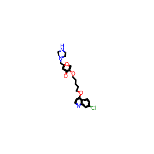 O=c1cc(CN2CCNCC2)occ1OCCCCCOc1ccnc2cc(Cl)ccc12